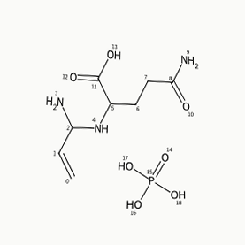 C=CC(N)NC(CCC(N)=O)C(=O)O.O=P(O)(O)O